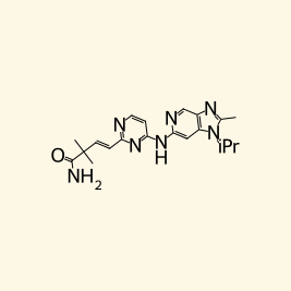 Cc1nc2cnc(Nc3ccnc(C=CC(C)(C)C(N)=O)n3)cc2n1C(C)C